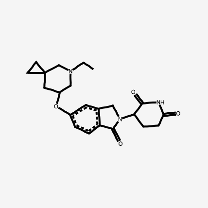 CCN1CC(Oc2ccc3c(c2)CN(C2CCC(=O)NC2=O)C3=O)CC2(CC2)C1